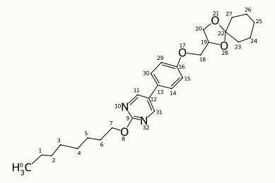 CCCCCCCCOc1ncc(-c2ccc(OCC3COC4(CCCCC4)O3)cc2)cn1